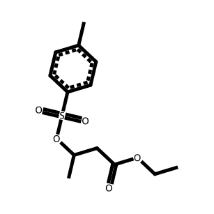 CCOC(=O)CC(C)OS(=O)(=O)c1ccc(C)cc1